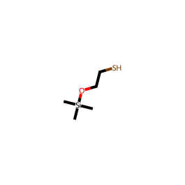 C[Si](C)(C)OCCS